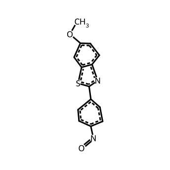 COc1ccc2nc(-c3ccc(N=O)cc3)sc2c1